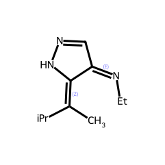 CC/N=C1/C=NN/C1=C(/C)C(C)C